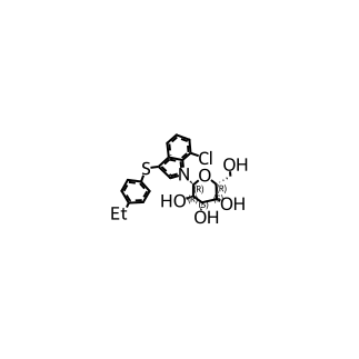 CCc1ccc(Sc2cn([C@@H]3O[C@H](CO)[C@@H](O)[C@H](O)[C@H]3O)c3c(Cl)cccc23)cc1